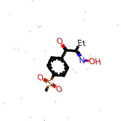 CCC(=NO)C(=O)c1ccc(S(C)(=O)=O)cc1